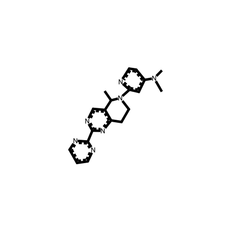 CC1c2cnc(-c3ncccn3)nc2CCN1c1cc(N(C)C)ccn1